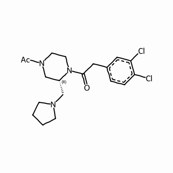 CC(=O)N1CCN(C(=O)Cc2ccc(Cl)c(Cl)c2)[C@H](CN2CCCC2)C1